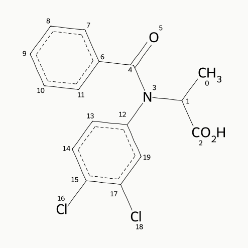 CC(C(=O)O)N(C(=O)c1ccccc1)c1ccc(Cl)c(Cl)c1